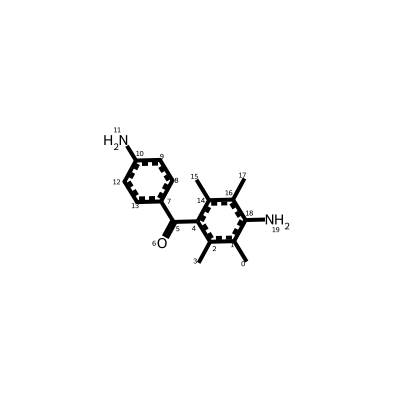 Cc1c(C)c(C(=O)c2ccc(N)cc2)c(C)c(C)c1N